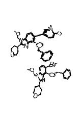 COCn1c(C2CCOCC2)nc2c(OCc3ccccc3)c(-c3ccc(=O)n(C)c3)ccc21.COCn1c(C2CCOCC2)nc2c(OCc3ccccc3)c(Br)ccc21